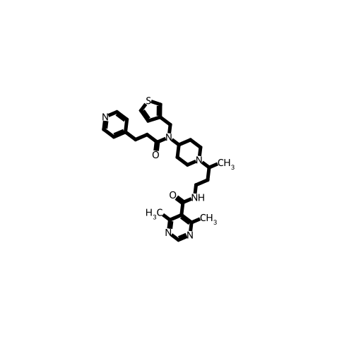 Cc1ncnc(C)c1C(=O)NCCC(C)N1CCC(N(Cc2ccsc2)C(=O)CCc2ccncc2)CC1